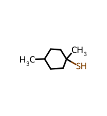 CC1CCC(C)(S)CC1